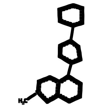 C[n+]1ccc2c(-c3ccc(-c4ccccc4)cc3)cccc2c1